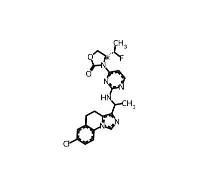 CC(Nc1nccc(N2C(=O)OC[C@@H]2C(C)F)n1)c1ncn2c1CCc1cc(Cl)ccc1-2